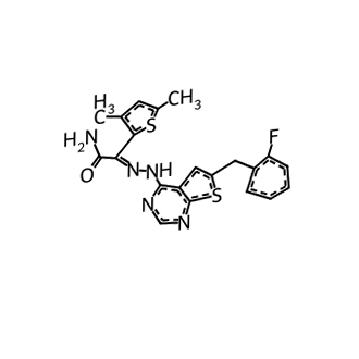 Cc1cc(C)c(C(=NNc2ncnc3sc(Cc4ccccc4F)cc23)C(N)=O)s1